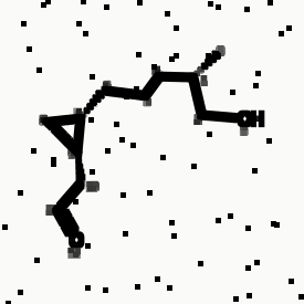 C[C@H](CO)CCC[C@H]1C[C@H]1CC=O